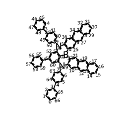 c1ccc(-c2ccc(N3c4cc5cc6ccccc6cc5cc4B4c5cc6cc7ccccc7cc6cc5N(c5ccc(-c6ccccc6)cc5)c5cc(-c6ccccc6)cc3c54)cc2)cc1